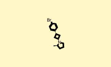 C[C@@H]1CCCN1[C@H]1C[C@@H](c2ccc(Br)cc2)C1